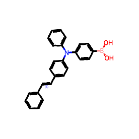 OB(O)c1ccc(N(c2ccccc2)c2ccc(/C=C/c3ccccc3)cc2)cc1